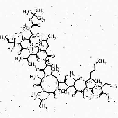 C=CC(C)(C)[C@@H](C(=O)N[C@H](C(=O)N(C)[C@@H](CC(C)C)C(=O)N[C@@H](C)C(=O)N1C(C)C[C@@H](C(=O)N(C)C2C(=O)N(C)[C@H](C(=O)N[C@@H](CC)C(=O)OC)[C@@H]([C@H](C)CCCC)OC2C)N(C)C(=O)[C@H](CC(C)C)N(C)C(=O)[C@H]1C)C(C)C)N(C)C(=O)[C@@H](C)N(C)C(=O)OC(C)(C)C